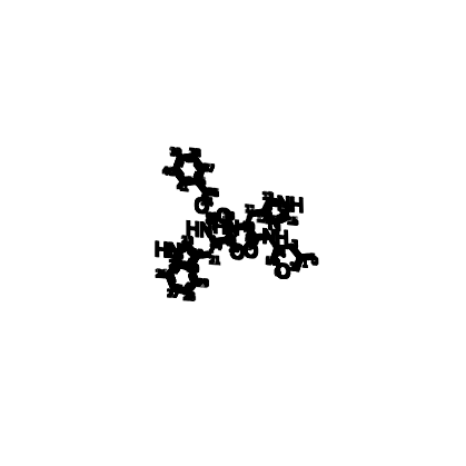 CC(C)C[C@@H](C=O)NC(=O)[C@H](Cc1c[nH]cn1)NC(=O)[C@H](Cc1c[nH]c2ccccc12)NC(=O)OCc1ccccc1